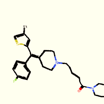 CCc1csc(C(=C2CCN(CCCC(=O)N3CCCCC3)CC2)c2ccc(F)cc2)c1